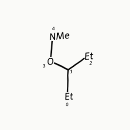 CCC(CC)ONC